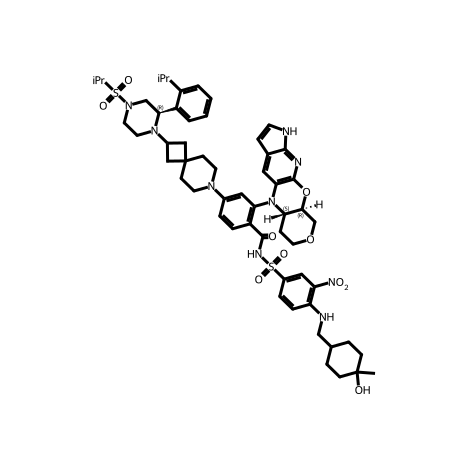 CC(C)c1ccccc1[C@@H]1CN(S(=O)(=O)C(C)C)CCN1C1CC2(CCN(c3ccc(C(=O)NS(=O)(=O)c4ccc(NCC5CCC(C)(O)CC5)c([N+](=O)[O-])c4)c(N4c5cc6cc[nH]c6nc5O[C@H]5COCC[C@@H]54)c3)CC2)C1